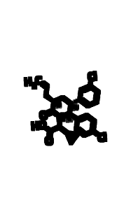 C=CC[C@H]1C[C@H](c2cccc(Cl)c2)[C@@H](c2ccc(Cl)cc2)N(C(C(=O)O)C2CC2)C1=O